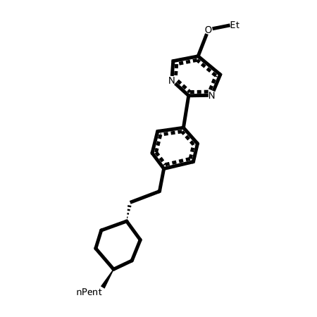 CCCCC[C@H]1CC[C@H](CCc2ccc(-c3ncc(OCC)cn3)cc2)CC1